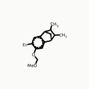 CCc1cc2c(cc1OCOC)C1CC2C(C)C1C